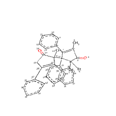 CCC1(C)C(=O)C(C)=C(c2ccccc2)C1(c1ccccc1)C1(C)C(=O)CC(c2ccccc2)=C1c1ccccc1